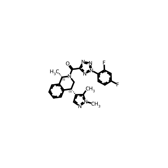 Cc1c([C@H]2CN(C(=O)c3nnn(-c4ccc(F)cc4F)n3)[C@@H](C)c3ccccc32)cnn1C